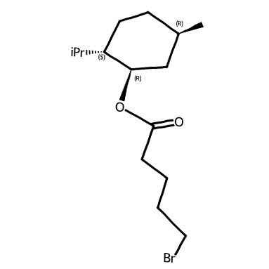 CC(C)[C@@H]1CC[C@@H](C)C[C@H]1OC(=O)CCCCBr